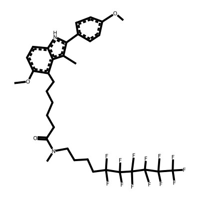 COc1ccc(-c2[nH]c3ccc(OC)c(CCCCCC(=O)N(C)CCCCC(F)(F)C(F)(F)C(F)(F)C(F)(F)C(F)(F)C(F)(F)F)c3c2C)cc1